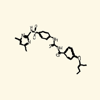 CCCC(C)Oc1ccc(C(=O)NC(=S)Nc2ccc(S(=O)(=O)Nc3nc(C)cc(C)n3)cc2)cc1